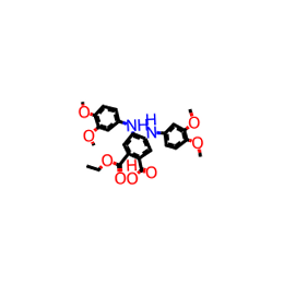 CCOC(=O)c1cc(Nc2ccc(OC)c(OC)c2)c(Nc2ccc(OC)c(OC)c2)cc1C(=O)O